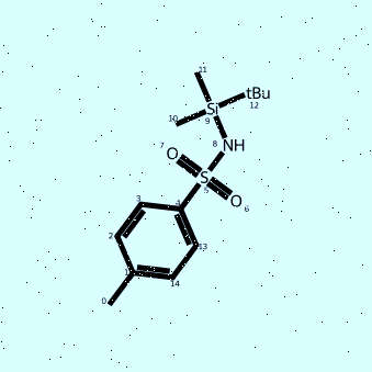 Cc1ccc(S(=O)(=O)N[Si](C)(C)C(C)(C)C)cc1